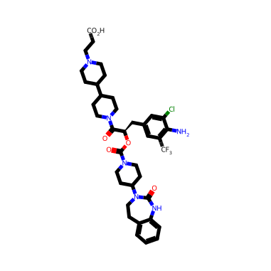 Nc1c(Cl)cc(C[C@@H](OC(=O)N2CCC(N3CCc4ccccc4NC3=O)CC2)C(=O)N2CCC(C3CCN(CCC(=O)O)CC3)CC2)cc1C(F)(F)F